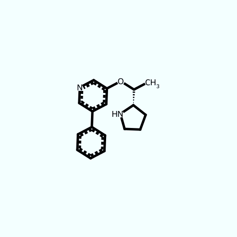 CC(Oc1cncc(-c2ccccc2)c1)[C@@H]1CCCN1